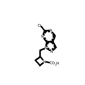 O=C(O)N1CCC1Cn1ncc2cnc(Cl)nc21